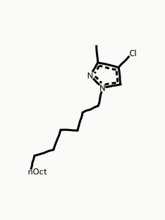 CCCCCCCCCCCCCCn1cc(Cl)c(C)n1